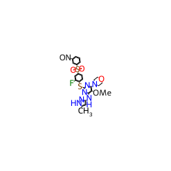 COc1c(Nc2cc(C)[nH]n2)nc(Sc2ccc(S(=O)(=O)c3cccc(N=O)c3)cc2F)nc1N1CCOCC1